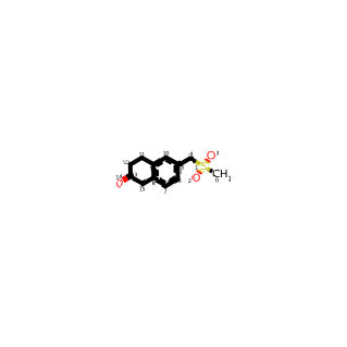 CS(=O)(=O)Cc1ccc2c(c1)CCC(=O)C2